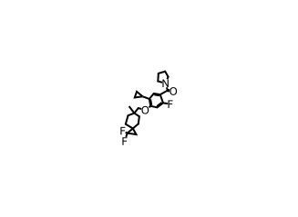 CC1(COc2cc(F)c(C(=O)N3CCCC3)cc2C2CC2)CCC2(CC1)CC2(F)F